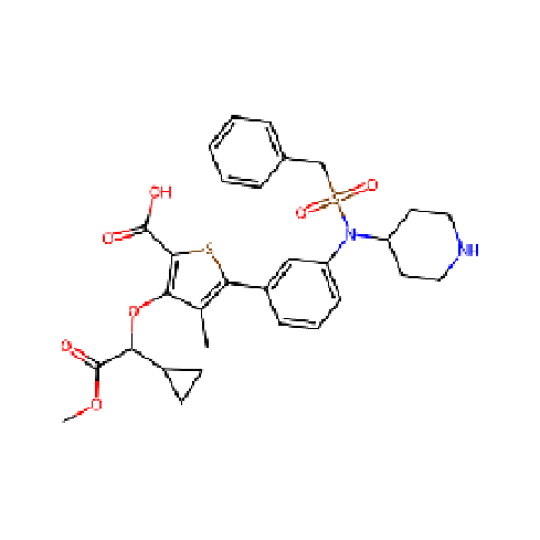 COC(=O)C(Oc1c(C(=O)O)sc(-c2cccc(N(C3CCNCC3)S(=O)(=O)Cc3ccccc3)c2)c1C)C1CC1